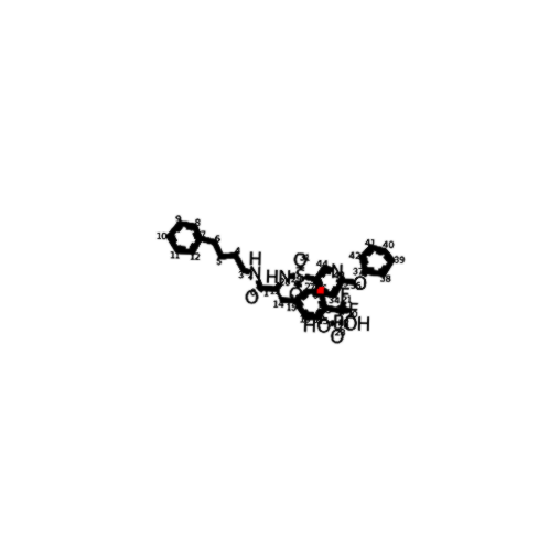 O=C(NCCCCc1ccccc1)[C@H](Cc1ccc(C(F)(F)P(=O)(O)O)cc1)NS(=O)(=O)c1ccc(Oc2ccccc2)nc1